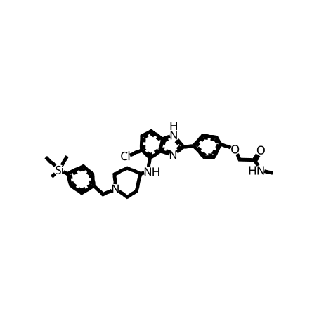 CNC(=O)COc1ccc(-c2nc3c(NC4CCN(Cc5ccc([Si](C)(C)C)cc5)CC4)c(Cl)ccc3[nH]2)cc1